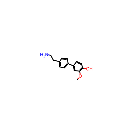 COc1cc(-c2ccc(CCN)cc2)ccc1O